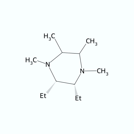 CC[C@@H]1[C@H](CC)N(C)C(C)C(C)N1C